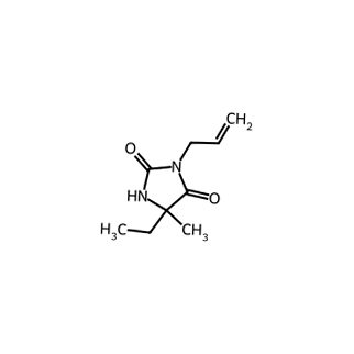 C=CCN1C(=O)NC(C)(CC)C1=O